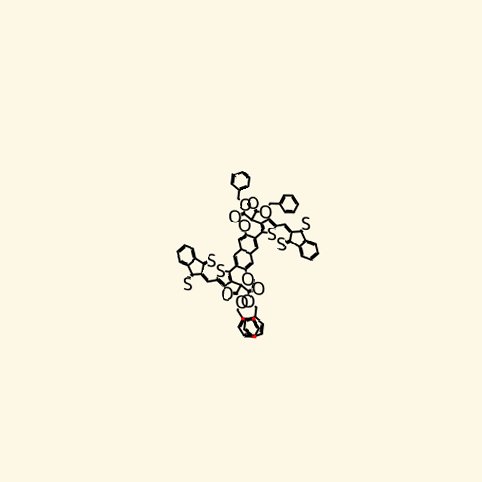 O=C(OCc1ccccc1)C1(C(=O)OCc2ccccc2)OC2=CC3C=C4C(=CC3C=C2c2sc(C=C3C(=S)c5ccccc5C3=S)cc21)OC(C(=O)OCc1ccccc1)(C(=O)OCc1ccccc1)c1cc(C=C2C(=S)c3ccccc3C2=S)sc14